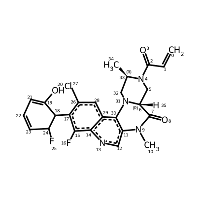 C=CC(=O)N1C[C@@H]2C(=O)N(C)c3cnc4c(F)c(C5C(O)=CC=CC5F)c(Cl)cc4c3N2C[C@H]1C